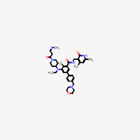 CCN(c1cc(-c2ccc(CN3CCOCC3)cc2)cc(C(=O)NCc2c(C)cc(C)[nH]c2=O)c1C)C1CCN(C(=O)C/C=N\C)CC1